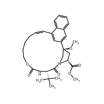 COC(=O)[C@@H]1C[C@]2(OC)CN1C(=O)[C@H](C(C)(C)C)NC(=O)OCCCCC=Cc1cc2cc2ccccc12